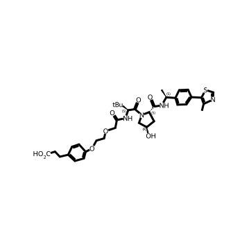 Cc1ncsc1-c1ccc([C@H](C)NC(=O)[C@@H]2C[C@@H](O)CN2C(=O)[C@@H](NC(=O)COCCOc2ccc(CCC(=O)O)cc2)C(C)(C)C)cc1